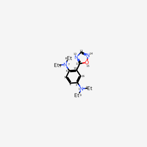 CCN(CC)c1ccc(N(CC)CC)c(-c2ncno2)c1